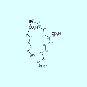 CC(C)CCCCCC(=O)O.CCCCCCCCCCCCCCCCC(CCCCC(C)C)C(=O)O